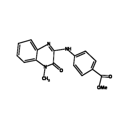 COC(=O)c1ccc(Nc2nc3ccccc3n(C)c2=O)cc1